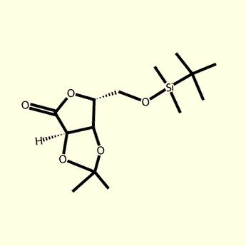 CC1(C)OC2[C@@H](CO[Si](C)(C)C(C)(C)C)OC(=O)[C@@H]2O1